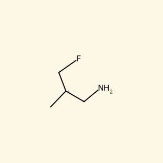 C[C](CN)CF